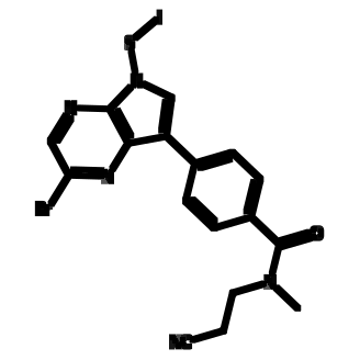 CN(CCC#N)C(=O)c1ccc(-c2cn(SI)c3ncc(Br)nc23)cc1